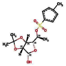 Cc1ccc(S(=O)(=O)O[C@@H](C)[C@@H]2O[C@H](O)[C@@H]3OC(C)(C)O[C@H]23)cc1